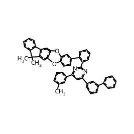 Cc1cccc(-c2cc(-c3cccc(-c4ccccc4)c3)nc(-c3ccccc3-c3ccc4c(c3)Oc3cc5c(cc3O4)C(C)(C)c3ccccc3-5)n2)c1